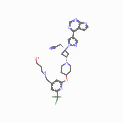 N#CC[C@]1(n2cc(-c3ncnc4[nH]ccc34)cn2)C[C@H](N2CCC(Oc3cc(CNCCCO)cc(C(F)(F)F)n3)CC2)C1